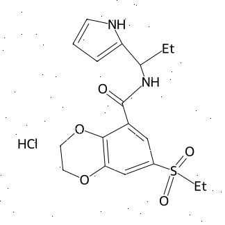 CCC(NC(=O)c1cc(S(=O)(=O)CC)cc2c1OCCO2)c1ccc[nH]1.Cl